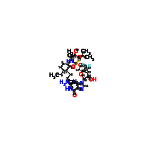 CCCc1c(CC)cccc1OP(=S)(N[C@@H](C)C(=O)OC(C)C)OC[C@]1(C(F)F)C[C@@H](O)[C@H](n2cnc3c(=O)[nH]c(N)nc32)O1